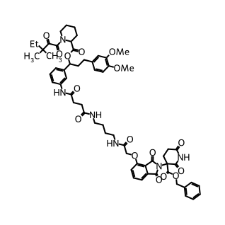 CCC(C)(C)C(=O)C(=O)N1CCCCC1C(=O)OC(CCc1ccc(OC)c(OC)c1)c1cccc(NC(=O)CCC(=O)NCCCCNC(=O)COc2cccc3c2C(=O)N(C2(C(=O)OCc4ccccc4)CCC(=O)NC2=O)C3=O)c1